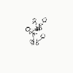 O=C(OCc1ccccc1)c1ncoc1CCNC(=O)[C@H](Cc1ccccc1)N[C@@H](CCc1cccs1)C(=O)OCc1ccccc1